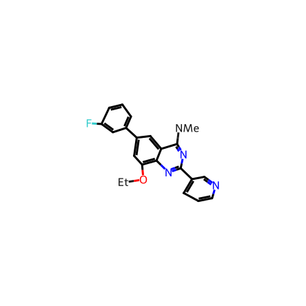 CCOc1cc(-c2cccc(F)c2)cc2c(NC)nc(-c3cccnc3)nc12